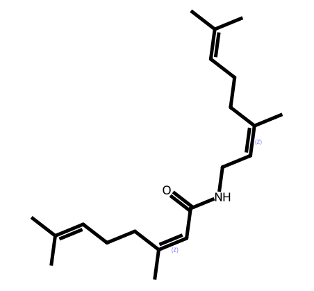 CC(C)=CCC/C(C)=C\CNC(=O)/C=C(/C)CCC=C(C)C